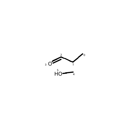 CCC=O.CO